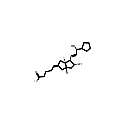 O=C(O)CCC/C=C1\C[C@H]2C[C@@H](O)[C@H](/C=C/[C@@H](O)C3CCCC3)[C@H]2C1